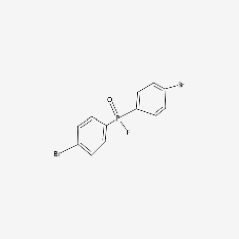 O=P(F)(c1ccc(Br)cc1)c1ccc(Br)cc1